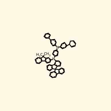 CC1(C)c2ccccc2-c2ccc(N(c3ccc(N(c4ccc(-c5ccccc5)cc4)c4ccc(C5C=CC=CC5)cc4)cc3)c3cccc4c3-c3ccccc3C43c4ccccc4-c4ccccc43)cc21